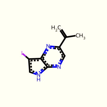 C=C(C)c1cnc2[nH]cc(I)c2n1